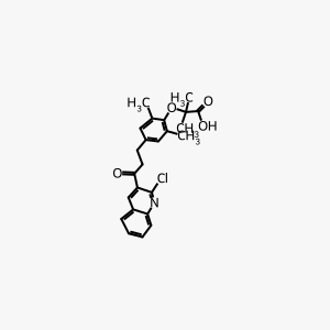 Cc1cc(CCC(=O)c2cc3ccccc3nc2Cl)cc(C)c1OC(C)(C)C(=O)O